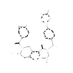 Cc1nnn(-c2ccc([C@H](C)N3C[C@@H](C)n4nc5c(c4C3=O)CN(C(=O)c3ccc(Cl)c(Cl)c3)[C@H](C)C5)cc2)n1